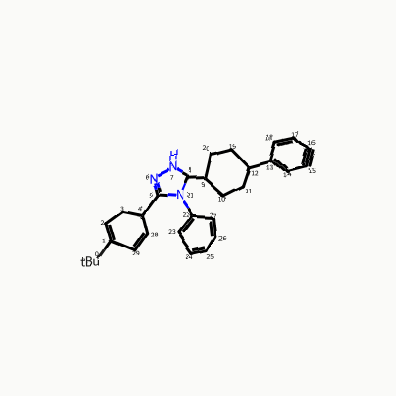 CC(C)(C)C1=CCC(C2=NNC(C3CCC(c4cc#ccc4)CC3)N2c2ccccc2)C=C1